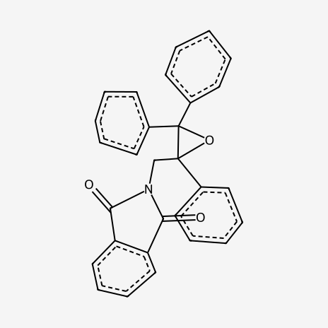 O=C1c2ccccc2C(=O)N1CC1(c2ccccc2)OC1(c1ccccc1)c1ccccc1